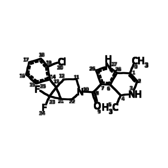 CC1=CNC(C)c2c(C(=O)N3CCC4(c5ccccc5Cl)C(C3)C4(F)F)c[nH]c21